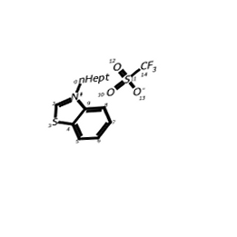 CCCCCCC[n+]1csc2ccccc21.O=S(=O)([O-])C(F)(F)F